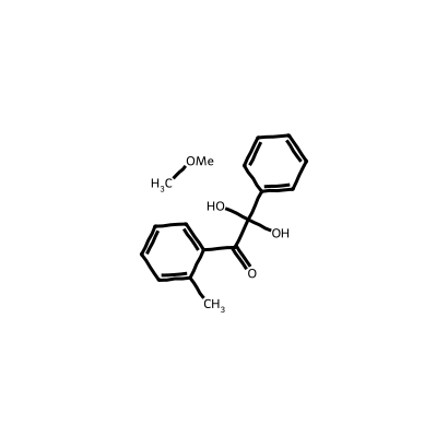 COC.Cc1ccccc1C(=O)C(O)(O)c1ccccc1